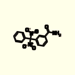 NC(=O)c1cccc(C(c2ccccc2)([N+](=O)[O-])[N+](=O)[O-])c1